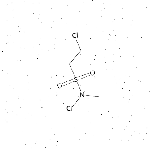 CN(Cl)S(=O)(=O)CCCl